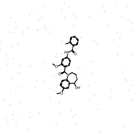 COc1ccc2c(c1)C(O)CCCN2C(=O)c1ccc(NC(=O)c2ccccc2C)cc1OC